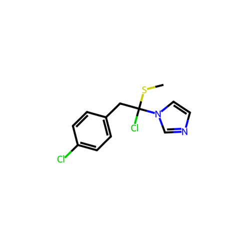 CSC(Cl)(Cc1ccc(Cl)cc1)n1ccnc1